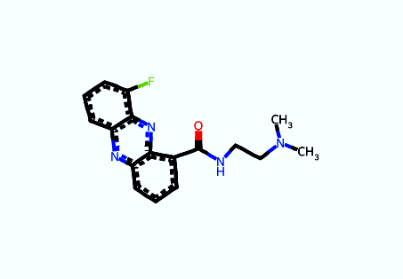 CN(C)CCNC(=O)c1cccc2nc3cccc(F)c3nc12